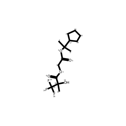 CC(C)(OC(=O)COC(=O)C(C)(O)C(F)(F)F)C1CCCC1